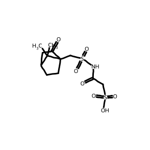 CC1(C)C2CCC1(CS(=O)(=O)NC(=O)CS(=O)(=O)O)C(=O)C2